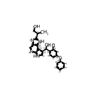 CC(CO)c1nc2cnc3[nH]cc(C(O)c4ccc(Oc5ccccc5)cc4Cl)c3c2[nH]1